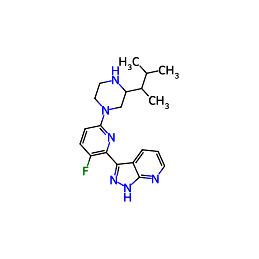 CC(C)C(C)C1CN(c2ccc(F)c(-c3n[nH]c4ncccc34)n2)CCN1